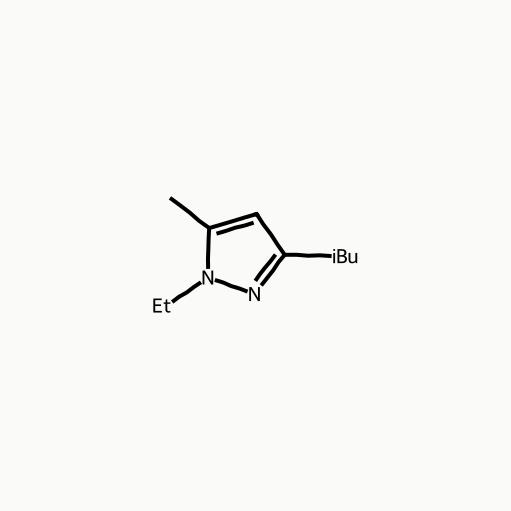 CCC(C)c1cc(C)n(CC)n1